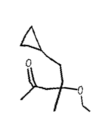 COC(C)(CC1CC1)C(C)=O